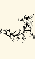 CC[C@H]1CC=C(NC(=O)[C@H](C)NC(=O)[C@@H](NC(=O)OC(C)(C)C)C(C)C)CC1